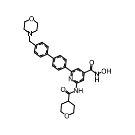 O=C(NO)c1cc(NC(=O)C2CCOCC2)nc(-c2ccc(-c3ccc(CN4CCOCC4)cc3)cc2)c1